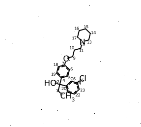 CCC(O)(c1ccc(OCCCN2CCCCC2)cc1)c1cccc(Cl)c1